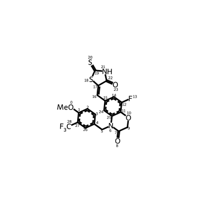 COc1ccc(CN2C(=O)COc3c(F)cc(C=C4SC(=S)NC4=O)cc32)cc1C(F)(F)F